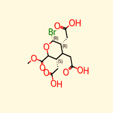 COC(=O)C1O[C@H](Br)[C@H](CC(=O)O)C(CC(=O)O)[C@@H]1CC(=O)O